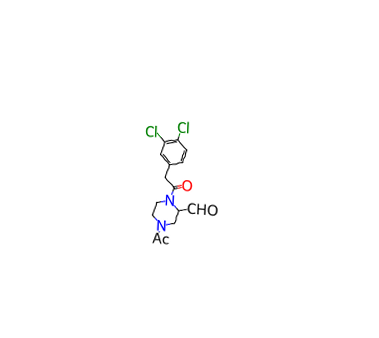 CC(=O)N1CCN(C(=O)Cc2ccc(Cl)c(Cl)c2)C(C=O)C1